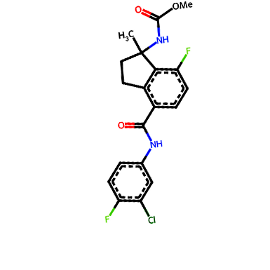 COC(=O)NC1(C)CCc2c(C(=O)Nc3ccc(F)c(Cl)c3)ccc(F)c21